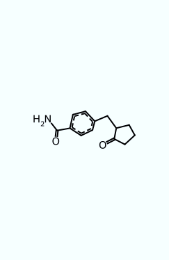 NC(=O)c1ccc(CC2CCCC2=O)cc1